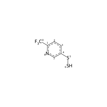 FC(F)(F)c1ccc(SS)cn1